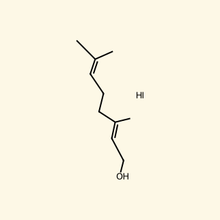 CC(C)=CCC/C(C)=C/CO.I